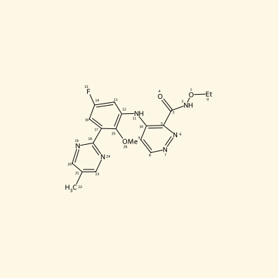 CCONC(=O)c1nnccc1Nc1cc(F)cc(-c2ncc(C)cn2)c1OC